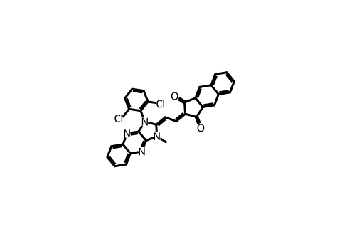 CN1/C(=C\C=C2C(=O)c3cc4ccccc4cc3C2=O)N(c2c(Cl)cccc2Cl)c2nc3ccccc3nc21